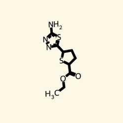 CCOC(=O)C1CCC(c2nnc(N)s2)S1